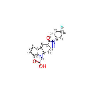 O=C(O)Cn1c2c(c3ccccc31)CC(C(=O)Nc1ccc(F)cc1)CC2